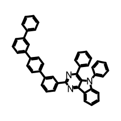 c1ccc(-c2cccc(-c3ccc(-c4cccc(-c5nc(-c6ccccc6)c6c(n5)c5ccccc5n6-c5ccccc5)c4)cc3)c2)cc1